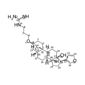 C[C@]12CC[C@H](OCCCNC(=N)N)C[C@H]1CC[C@H]1[C@H]3CC[C@H](c4ccoc4)[C@@]3(C)CC[C@@H]12